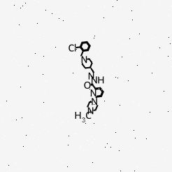 CN1CCN(c2cccc(C(=O)NN=CC3CCN(Cc4ccccc4Cl)CC3)n2)CC1